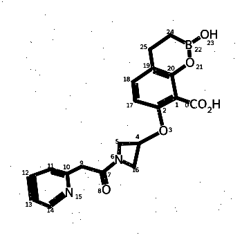 O=C(O)c1c(OC2CN(C(=O)Cc3cc#ccn3)C2)ccc2c1OB(O)CC2